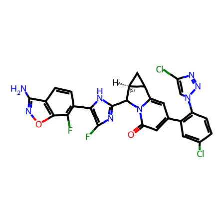 Nc1noc2c(F)c(-c3[nH]c(C4[C@H]5CC5c5cc(-c6cc(Cl)ccc6-n6cc(Cl)nn6)cc(=O)n54)nc3F)ccc12